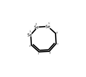 C1=C=C[Se][Se][Se]CC=1